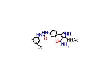 CCc1cccc(NC(=O)Nc2ccc(-c3c[nH]c(NC(C)=O)c3C(N)=O)cc2)c1